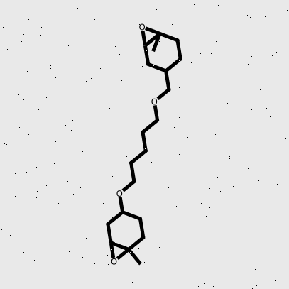 CC12CCC(COCCCCCOC3CCC4(C)OC4C3)CC1O2